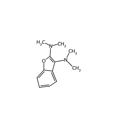 CN(C)c1oc2ccccc2c1N(C)C